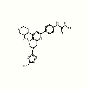 CCNC(=O)Nc1ccc(-c2nc3c(c(N4CCOCC4C)n2)CCN(c2nnc(C)o2)C3)cc1